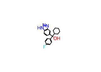 OC(c1ccc(F)cc1)(c1ccc2[nH]nnc2c1)C1CCCCC1